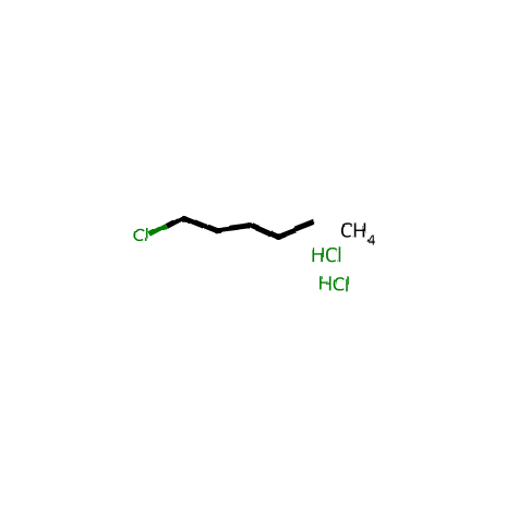 C.CCCCCCl.Cl.Cl